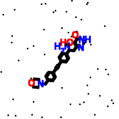 NC(Cc1nc[nH]c(=O)c1O)c1ccc(C#Cc2ccc(CN3CCOCC3)cc2)cc1